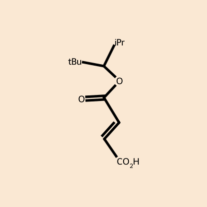 CC(C)C(OC(=O)C=CC(=O)O)C(C)(C)C